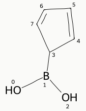 OB(O)C1C=CC=C1